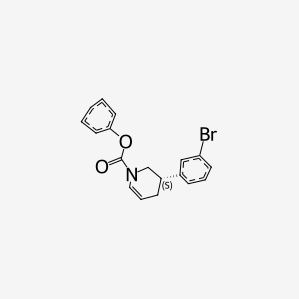 O=C(Oc1ccccc1)N1C=CC[C@@H](c2cccc(Br)c2)C1